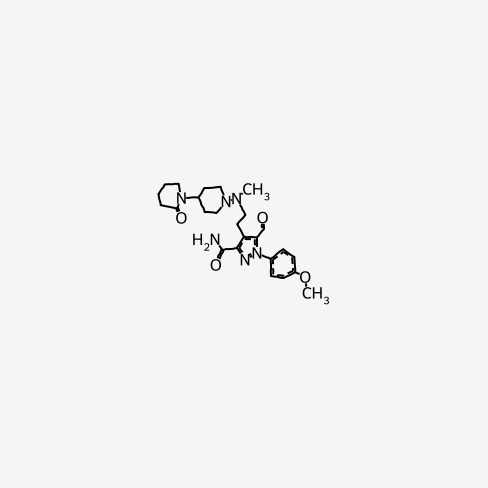 COc1ccc(-n2nc(C(N)=O)c(CCN(C)N3CCC(N4CCCCC4=O)CC3)c2C=O)cc1